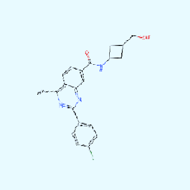 CCCc1nc(-c2ccc(Cl)cc2)nc2cc(C(=O)NC3CC(CO)C3)ccc12